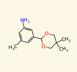 Cc1cc(N)cc(C2OCC(C)(C)CO2)c1